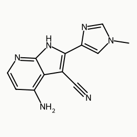 Cn1cnc(-c2[nH]c3nccc(N)c3c2C#N)c1